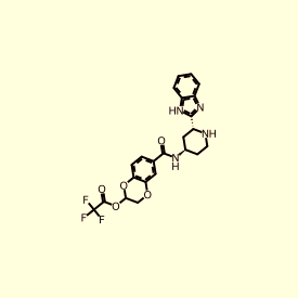 O=C(N[C@@H]1CCN[C@@H](c2nc3ccccc3[nH]2)C1)c1ccc2c(c1)OCC(OC(=O)C(F)(F)F)O2